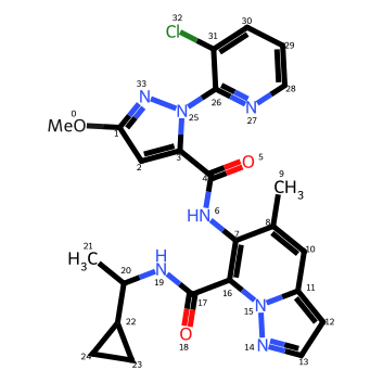 COc1cc(C(=O)Nc2c(C)cc3ccnn3c2C(=O)NC(C)C2CC2)n(-c2ncccc2Cl)n1